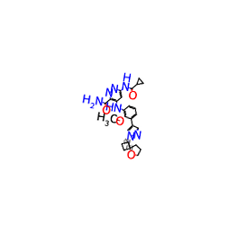 COc1c(Nc2cc(NC(=O)C3CC3)nnc2C(N)=O)cccc1-c1cnn([C@H]2CC[C@]23CCCO3)c1